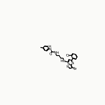 Cc1ccc(NC(=O)NCCCCNc2cc(-c3ccccc3Cl)nc3c(Br)cnn23)cc1